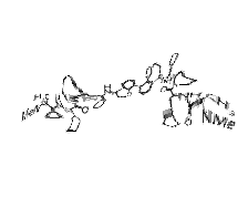 CN[C@@H](C)C(=O)N[C@H](C(=O)N1CCC[C@H]1C(=O)N[C@@H]1CCOc2c(-c3cccc4c3OCC[C@H]4NC(=O)[C@@H]3CCCN3C(=O)[C@@H](NC(=O)[C@H](C)NC)C3CCCC3)cccc21)C1CCCC1